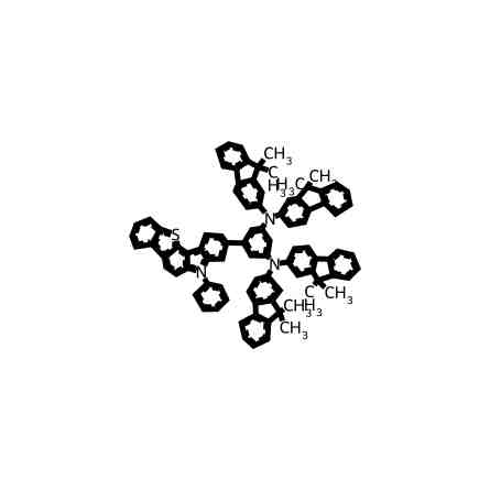 CC1(C)c2ccccc2-c2ccc(N(c3cc(-c4ccc5c6c7sc8ccccc8c7ccc6n(-c6ccccc6)c5c4)cc(N(c4ccc5c(c4)C(C)(C)c4ccccc4-5)c4ccc5c(c4)C(C)(C)c4ccccc4-5)c3)c3ccc4c(c3)C(C)(C)c3ccccc3-4)cc21